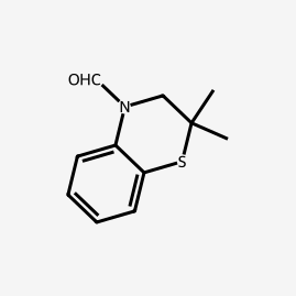 CC1(C)CN(C=O)c2ccccc2S1